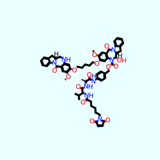 COc1cc2c(cc1OCCCCCOc1cc3c(cc1OC)C(=O)N1c4ccccc4C[C@H]1C(O)N3C(=O)OCc1ccc(NC(=O)[C@H](C)NC(=O)[C@@H](NC(=O)CCCCCN3C(=O)C=CC3=O)C(C)C)cc1)NC[C@@H]1Cc3ccccc3N1C2=O